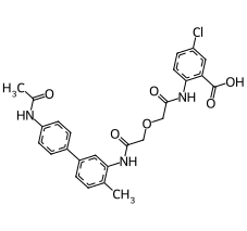 CC(=O)Nc1ccc(-c2ccc(C)c(NC(=O)COCC(=O)Nc3ccc(Cl)cc3C(=O)O)c2)cc1